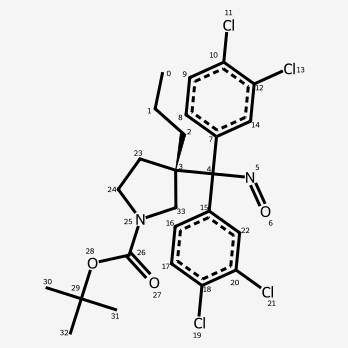 CCC[C@]1(C(N=O)(c2ccc(Cl)c(Cl)c2)c2ccc(Cl)c(Cl)c2)CCN(C(=O)OC(C)(C)C)C1